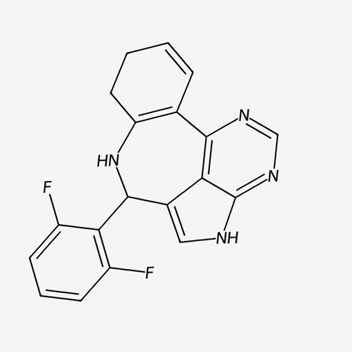 Fc1cccc(F)c1C1NC2=C(C=CCC2)c2ncnc3[nH]cc1c23